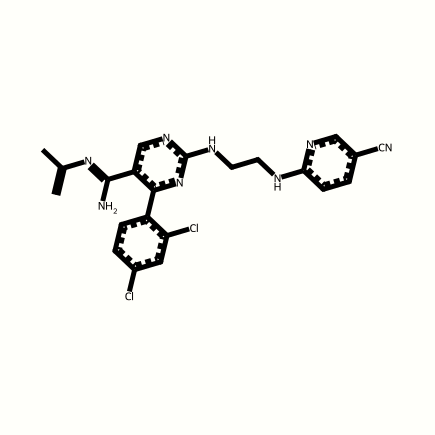 C=C(C)/N=C(\N)c1cnc(NCCNc2ccc(C#N)cn2)nc1-c1ccc(Cl)cc1Cl